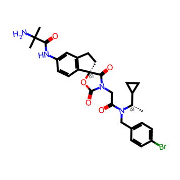 C[C@@H](C1CC1)N(Cc1ccc(Br)cc1)C(=O)CN1C(=O)O[C@]2(CCc3cc(NC(=O)C(C)(C)N)ccc32)C1=O